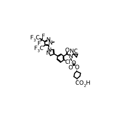 Cn1nc(C(F)(F)C(F)(F)F)c(C(F)(F)F)c1-n1cc(-c2ccc(Cl)c(C(=O)N(COC(=O)O[C@H]3CC[C@@H](C(=O)O)CC3)C3(C#N)CC3)c2)cn1